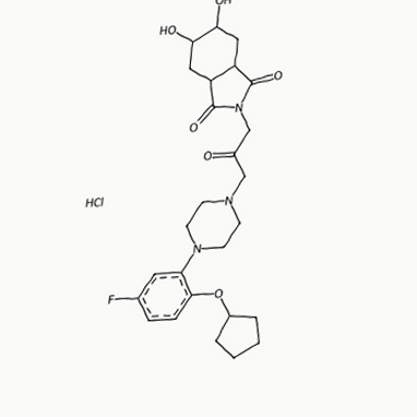 Cl.O=C(CN1CCN(c2cc(F)ccc2OC2CCCC2)CC1)CN1C(=O)C2CC(O)C(O)CC2C1=O